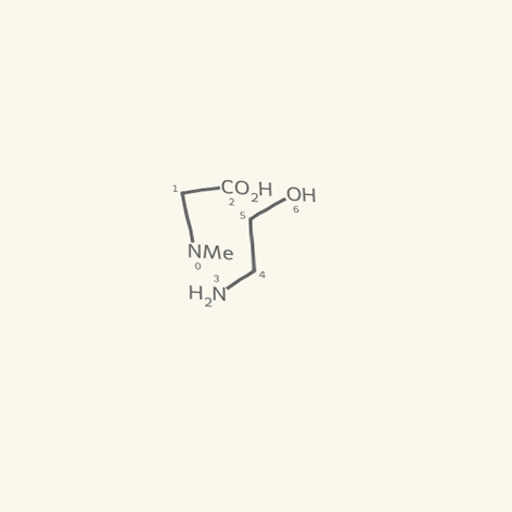 CNCC(=O)O.NCCO